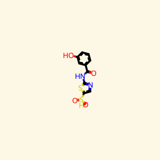 O=C(Nc1ncc([SH](=O)=O)s1)c1cccc(O)c1